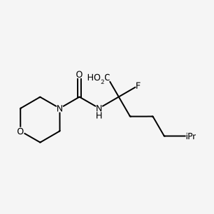 CC(C)CCCC(F)(NC(=O)N1CCOCC1)C(=O)O